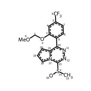 COCOc1cc(C(F)(F)F)ccc1-c1nnc([S+](C)[O-])n2cccc12